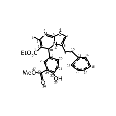 CCOC(=O)C1=C(C)N=C2SC=C(CCc3ccccc3)N2C1c1ccc(O)c(C(=O)OC)c1